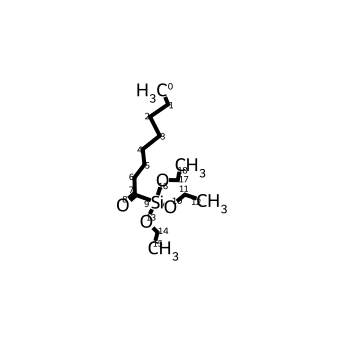 CCCCCCCC(=O)[Si](OCC)(OCC)OCC